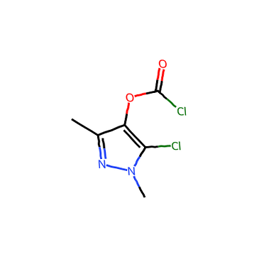 Cc1nn(C)c(Cl)c1OC(=O)Cl